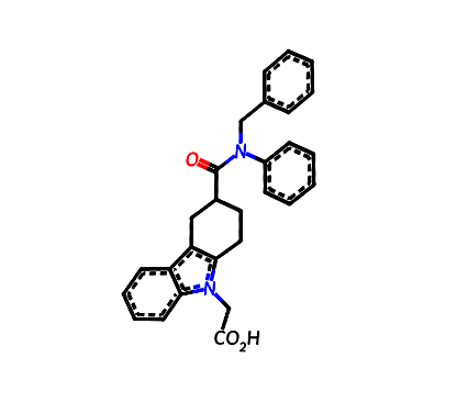 O=C(O)Cn1c2c(c3ccccc31)CC(C(=O)N(Cc1ccccc1)c1ccccc1)CC2